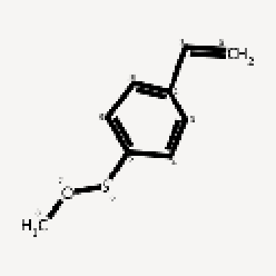 C=Cc1ccc(SOC)cc1